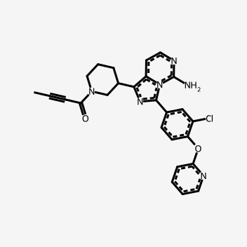 CC#CC(=O)N1CCCC(c2nc(-c3ccc(Oc4ccccn4)c(Cl)c3)n3c(N)nccc23)C1